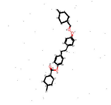 CC1CCC(COOc2ccc(CCc3ccc(OC(=O)C4CCC(C)CC4)cc3)cc2)CC1